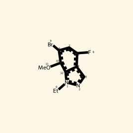 CCn1ncc2c(F)cc(Br)c(OC)c21